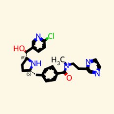 CN(CCc1cnccn1)C(=O)c1ccc(C[C@@H]2CC[C@H](C(O)c3ccc(Cl)nc3)N2)cc1